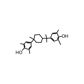 Cc1cc(C2(C)CCC(C(C)(C)c3cc(C)c(O)c(C)c3)CC2)cc(C)c1O